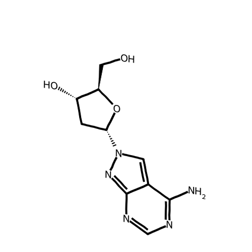 Nc1ncnc2nn([C@@H]3C[C@H](O)[C@@H](CO)O3)cc12